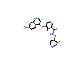 Cc1cnccc1CNC(=O)c1cccc(Oc2ccnc3cc(Cl)ccc23)c1C